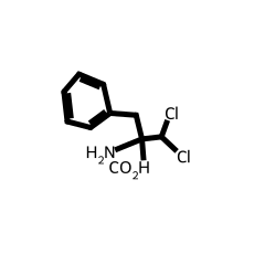 NC(Cc1ccccc1)(C(=O)O)C(Cl)Cl